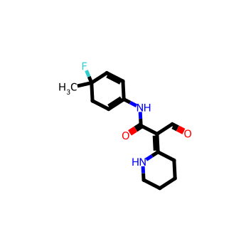 CC1(F)C=CC(NC(=O)/C(C=O)=C2/CCCCN2)=CC1